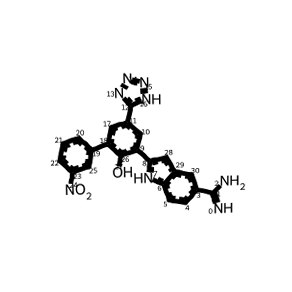 N=C(N)c1ccc2[nH]c(-c3cc(-c4nnn[nH]4)cc(-c4cccc([N+](=O)[O-])c4)c3O)cc2c1